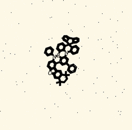 CC1(C)CCC(C)(C)c2cc3c(cc21)oc1ccc2c(c13)-c1cc(-c3ccccc3)cc3c1B(c1cccc4c1N3c1ccccc1C41c3ccccc3-c3ccccc31)N2c1ccccc1